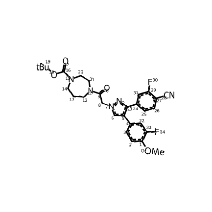 COc1ccc(-c2cn(CC(=O)N3CCCN(C(=O)OC(C)(C)C)CC3)nc2-c2ccc(C#N)c(F)c2)cc1F